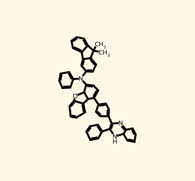 CC1(C)c2ccccc2-c2cc(N(C3=CC=C(c4ccc(C5=C(c6ccccc6)NC6C=CC=CC6=N5)cc4)C4c5ccccc5OC34)c3ccccc3)ccc21